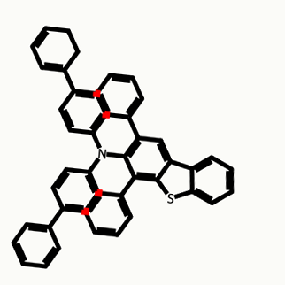 C1=CCCC(c2ccc(N(c3ccc(-c4ccccc4)cc3)c3c(-c4ccccc4)cc4c(sc5ccccc54)c3-c3ccccc3)cc2)=C1